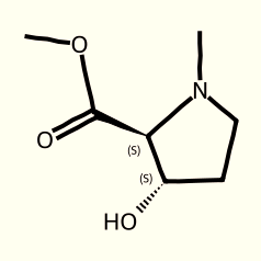 COC(=O)[C@@H]1[C@@H](O)CCN1C